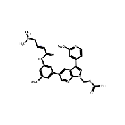 COc1cc(NC(=O)/C=C/CN(C)C)cc(-c2cnc3c(c2)c(-c2ccnc(OC)c2)cn3COC(=O)C(C)(C)C)c1